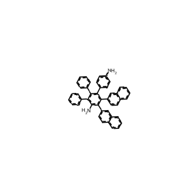 Nc1ccc(-c2c(-c3ccccc3)c(-c3ccccc3)c(N)c(-c3ccc4ccccc4c3)c2-c2ccc3ccccc3c2)cc1